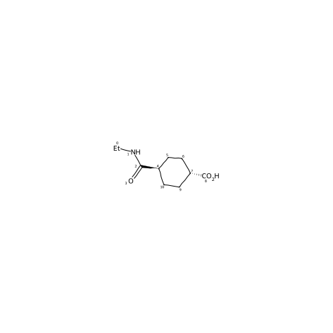 CCNC(=O)[C@H]1CC[C@H](C(=O)O)CC1